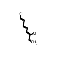 C=CC(Cl)=CC=CC=CCl